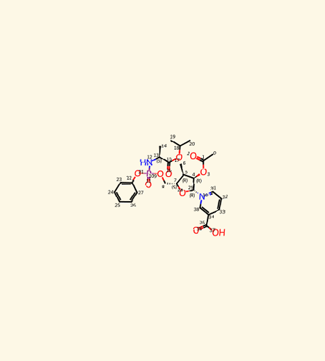 CC(=O)O[C@@H]1[C@H](C)[C@@H](COP(=O)(N[C@@H](C)C(=O)OC(C)C)Oc2ccccc2)O[C@H]1[n+]1cccc(C(=O)O)c1